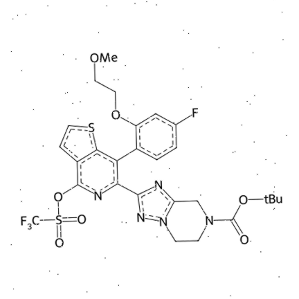 COCCOc1cc(F)ccc1-c1c(-c2nc3n(n2)CCN(C(=O)OC(C)(C)C)C3)nc(OS(=O)(=O)C(F)(F)F)c2ccsc12